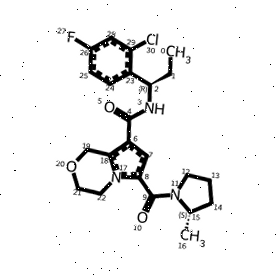 CC[C@@H](NC(=O)c1cc(C(=O)N2CCC[C@@H]2C)n2c1COCC2)c1ccc(F)cc1Cl